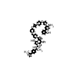 Cc1ncsc1-c1ccc([C@H](C)NC(=O)[C@@H]2C[C@@H](O)CN2C(=O)[C@@H](c2cc(N3CCC(CN4CCC(O[C@H]5C[C@H](N6CCC(O[C@H]7CCN(c8cc(-c9ccccc9O)nnc8N)C7)CC6)C5)CC4)CC3)no2)C(C)C)cc1